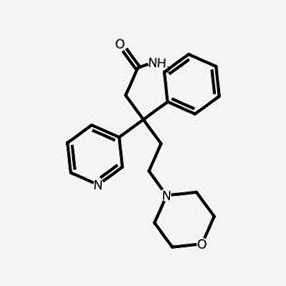 NC(=O)CC(CCN1CCOCC1)(c1ccccc1)c1cccnc1